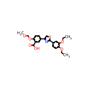 CCOc1ccc(-c2nc(-c3ccc(OCOC)c(C(=O)O)c3)cs2)cc1OCC